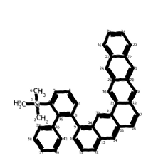 C[Si](C)(C)c1cccc(-c2cccc3cc4ccc5cc6cc7ccccc7cc6cc5c4cc23)c1-c1ccccc1